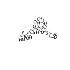 CC(=O)N1CC[C@H]2CC[C@@H](C(=O)N3CC4CCS(=O)(=O)CC4C3)N2C(=O)[C@@H](NC(=O)c2cc3cc(C(F)(F)P(O)O)ccc3s2)C1